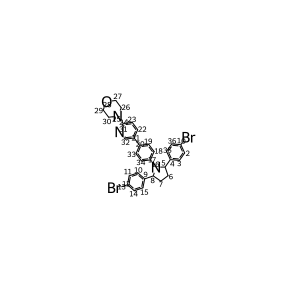 Brc1ccc(C2CCC(c3ccc(Br)cc3)N2c2ccc(-c3ccc(N4CCOCC4)nc3)cc2)cc1